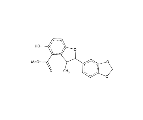 COC(=O)c1c(O)ccc2c1C(C)C(c1ccc3c(c1)OCO3)O2